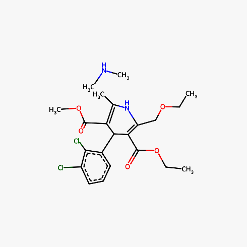 CCOCC1=C(C(=O)OCC)C(c2cccc(Cl)c2Cl)C(C(=O)OC)=C(C)N1.CNC